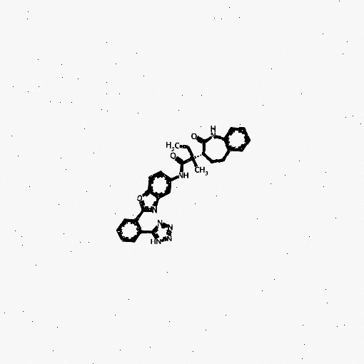 CCC(C)(C(=O)Nc1ccc2oc(-c3ccccc3-c3nnn[nH]3)nc2c1)[C@H]1CCc2ccccc2NC1=O